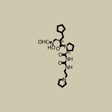 O=CN(O)C[C@@H](CC1CCCC1)C(=O)N1CCC[C@H]1C(=O)NC(=O)NCCN1CCCC1